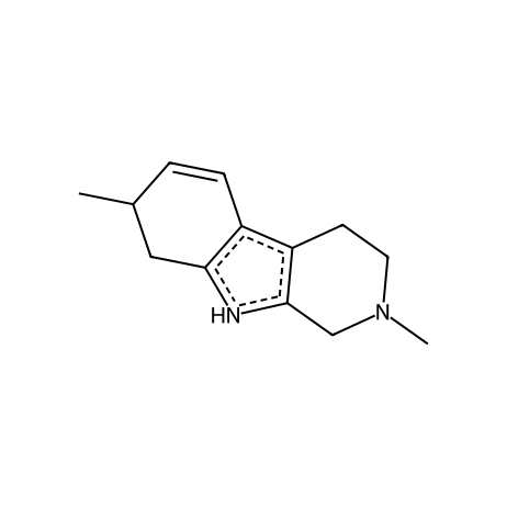 CC1C=Cc2c([nH]c3c2CCN(C)C3)C1